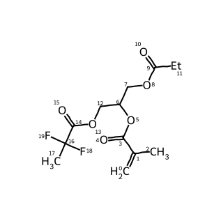 C=C(C)C(=O)OC(COC(=O)CC)COC(=O)C(C)(F)F